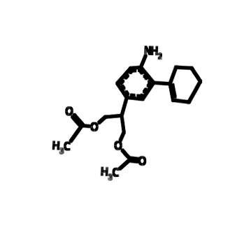 CC(=O)OCC(COC(C)=O)c1ccc(N)c(C2=CCCCC2)c1